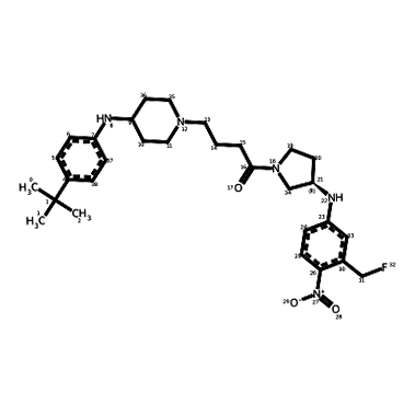 CC(C)(C)c1ccc(NC2CCN(CCCC(=O)N3CC[C@@H](Nc4ccc([N+](=O)[O-])c(CF)c4)C3)CC2)cc1